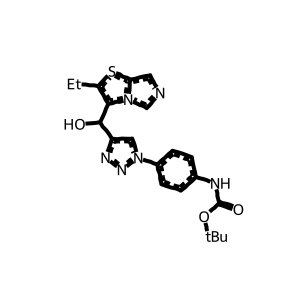 CCc1sc2cncn2c1C(O)c1cn(-c2ccc(NC(=O)OC(C)(C)C)cc2)nn1